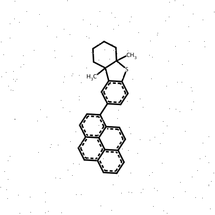 CC12CCCCC1(C)c1cc(-c3ccc4ccc5cccc6ccc3c4c56)ccc1S2